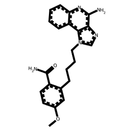 COc1ccc(C(N)=O)c(CCCCn2cnc3c(N)nc4ccccc4c32)c1